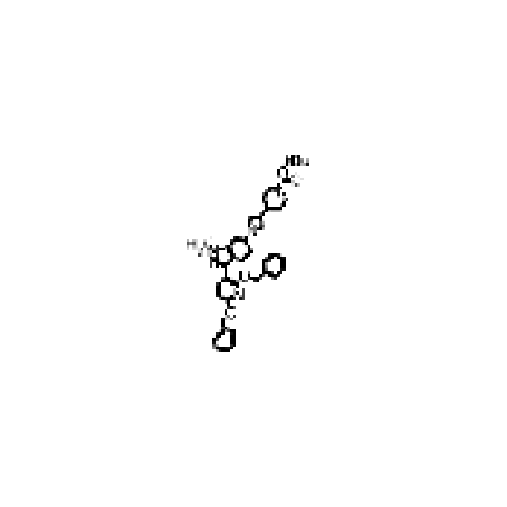 Cn1nc(-c2ccc(OCc3ccccc3)nc2OCc2ccccc2)c2ccc(N3CC(C4CCN(C(=O)OC(C)(C)C)CC4)C3)cc21